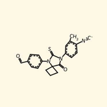 [C-]#[N+]c1ccc(N2C(=O)C3(CCC3)N(c3ccc(C=O)cc3)C2=S)cc1C